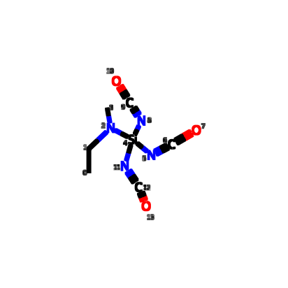 CCN(C)[Si](N=C=O)(N=C=O)N=C=O